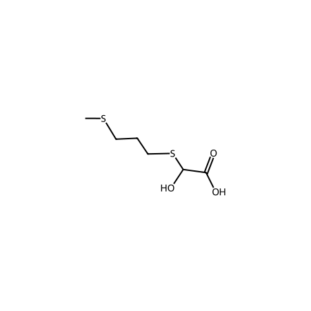 CSCCCSC(O)C(=O)O